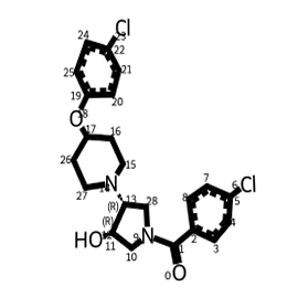 O=C(c1ccc(Cl)cc1)N1C[C@@H](O)[C@H](N2CCC(Oc3ccc(Cl)cc3)CC2)C1